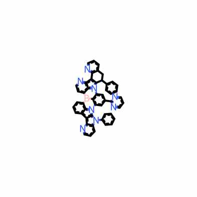 c1ccc(C2Cc3cccnc3-c3c2n2c4c(ccnc34)B3c4c-2cc(-c2ncccn2)cc4-n2c4c3cccc4c3c4ncccc4n(-c4ccccc4)c32)cc1